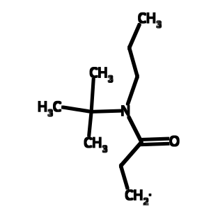 [CH2]CC(=O)N(CCC)C(C)(C)C